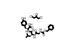 CC(C)C[C@H](NC(=O)CNC(=O)OCc1ccccc1)C(=O)N[C@@H](Cc1ccc(O)cc1)C(=O)O.O=C(CCl)CCl